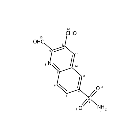 NS(=O)(=O)c1ccc2nc(C=O)c(C=O)cc2c1